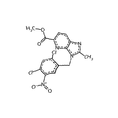 COC(=O)c1ccc2nc(C)n(Cc3cc([N+](=O)[O-])c(Cl)cc3Cl)c2n1